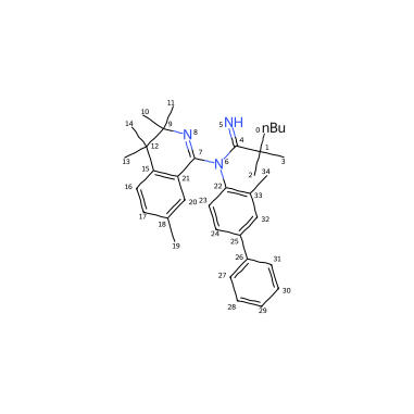 CCCCC(C)(C)C(=N)N(C1=NC(C)(C)C(C)(C)c2ccc(C)cc21)c1ccc(-c2ccccc2)cc1C